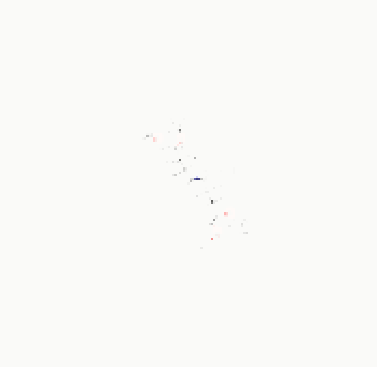 CC(C)(/C(C(=O)O)=C(\C(=O)O)C(C)(C)C(C)(C)C(O[Si](C)(C)C)[SiH2]O[SiH3])C(C)(C)C(O[Si](C)(C)C)[SiH2]O[SiH3]